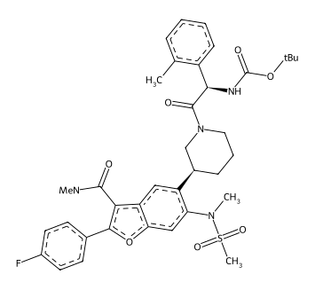 CNC(=O)c1c(-c2ccc(F)cc2)oc2cc(N(C)S(C)(=O)=O)c([C@@H]3CCCN(C(=O)[C@H](NC(=O)OC(C)(C)C)c4ccccc4C)C3)cc12